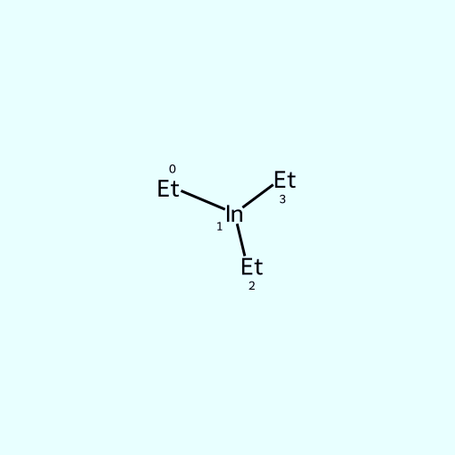 C[CH2][In]([CH2]C)[CH2]C